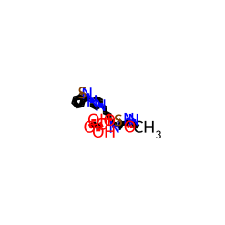 Cc1nnc(-c2cnc(OCCCN3CCN(c4nsc5ccccc45)CC3)s2)o1.O=C(O)C(=O)O